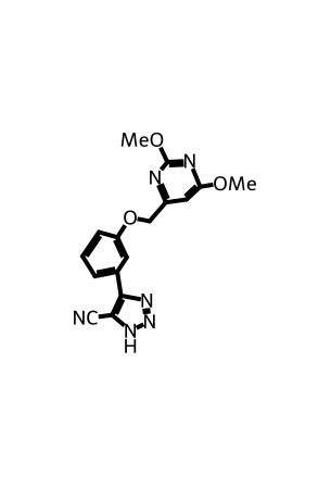 COc1cc(COc2cccc(-c3nn[nH]c3C#N)c2)nc(OC)n1